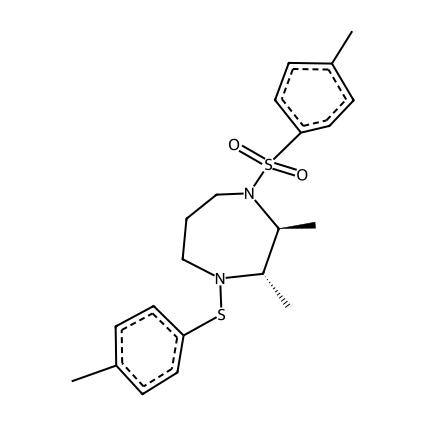 Cc1ccc(SN2CCCN(S(=O)(=O)c3ccc(C)cc3)[C@@H](C)[C@@H]2C)cc1